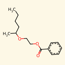 CCCCC(C)OCCOC(=O)c1ccccc1